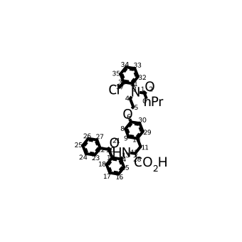 CCCC(=O)N(CCOc1ccc(C[C@H](Nc2ccccc2C(=O)c2ccccc2)C(=O)O)cc1)c1ccccc1Cl